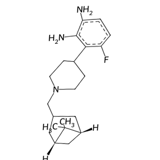 CC1(C)[C@@H]2CC(CN3CCC(c4c(F)ccc(N)c4N)CC3)C[C@H]1C2